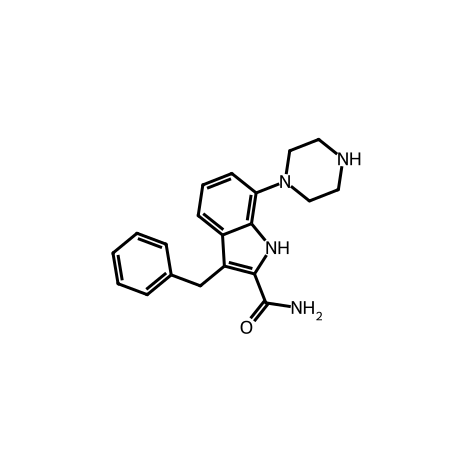 NC(=O)c1[nH]c2c(N3CCNCC3)cccc2c1Cc1ccccc1